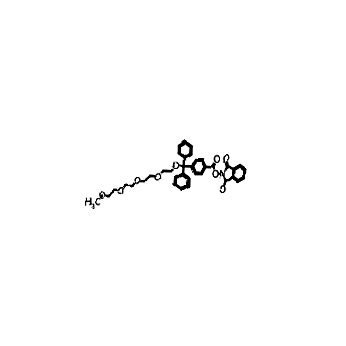 COCCOCCOCCOCCOC(c1ccccc1)(c1ccccc1)c1ccc(C(=O)ON2C(=O)c3ccccc3C2=O)cc1